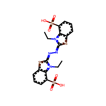 CCn1c(=NN=c2sc3cccc(S(=O)(=O)O)c3n2CC)sc2cccc(S(=O)(=O)O)c21